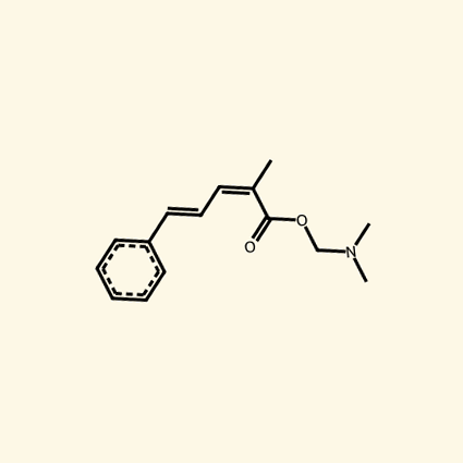 CC(=CC=Cc1ccccc1)C(=O)OCN(C)C